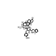 C=C(C)[C@]12O[C@H]1[C@@H]1O[C@]13[C@]1(O[C@H]1C[C@H]1C4=C(CC[C@@]13C)C(=O)OC4)[C@@H]2OC(=O)[C@H](Cc1ccc(O)cc1)NC(=O)[C@@H](N)Cc1ccccc1